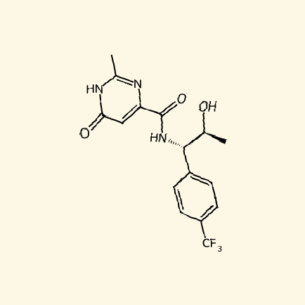 Cc1nc(C(=O)N[C@@H](c2ccc(C(F)(F)F)cc2)[C@H](C)O)cc(=O)[nH]1